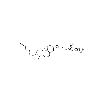 CC(C)CCC[C@@H](C)[C@H]1CCC2C3CC=C4CC(OCCC[S+]([O-])CC(=O)O)CC[C@]4(C)C3CC[C@@]21C